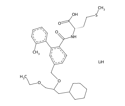 CCOCC(CC1CCCCC1)OCc1ccc(C(=O)N[C@@H](CCSC)C(=O)O)c(-c2ccccc2C)c1.[LiH]